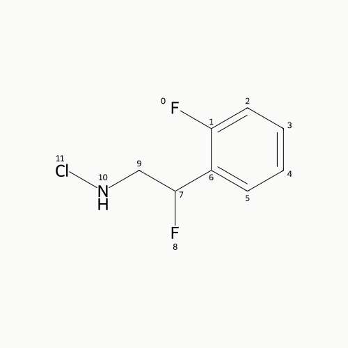 Fc1ccccc1C(F)CNCl